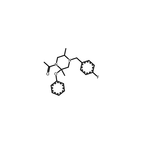 CC(=O)N1CC(C)N(Cc2ccc(F)cc2)CC1(C)Oc1ccccc1